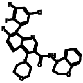 O=C(NN1CCOc2ccccc21)c1cnc2c(-c3cc(Cl)cc(F)c3F)c(F)ccc2c1N1CCOCC1